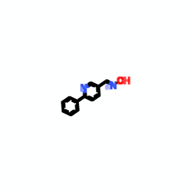 O/N=C/c1ccc(-c2ccccc2)nc1